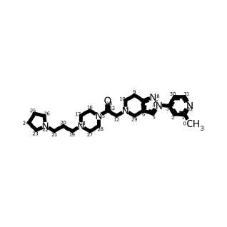 Cc1cc(-n2cc3c(n2)CCN(CC(=O)N2CCN(CCCN4CCCC4)CC2)C3)ccn1